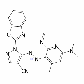 C=Nc1nc(N(C)C)cc(C)c1/N=N/c1c(C#N)cnn1-c1nc2ccccc2o1